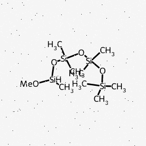 CO[SiH](C)O[Si](C)(C)O[Si](C)(C)O[Si](C)(C)C